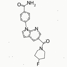 NC(=O)c1ccc(-n2ccc3cc(C(=O)N4CCC(F)CC4)cnc32)cc1